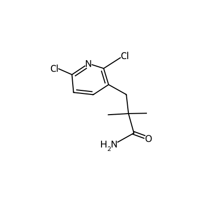 CC(C)(Cc1ccc(Cl)nc1Cl)C(N)=O